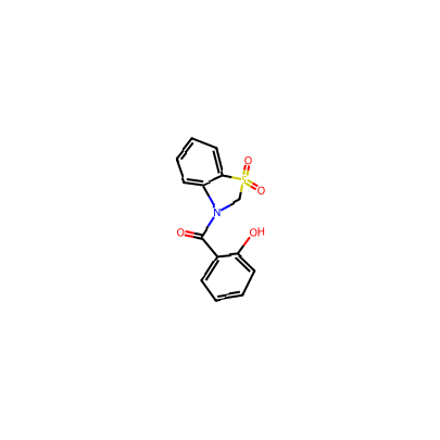 O=C(c1ccccc1O)N1CS(=O)(=O)c2ccccc21